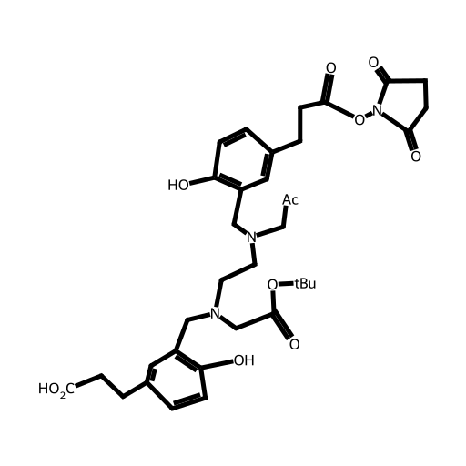 CC(=O)CN(CCN(CC(=O)OC(C)(C)C)Cc1cc(CCC(=O)O)ccc1O)Cc1cc(CCC(=O)ON2C(=O)CCC2=O)ccc1O